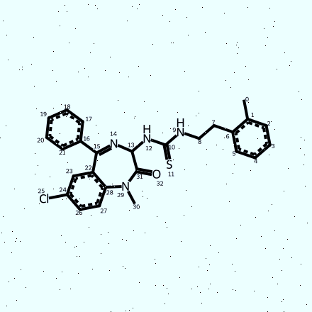 Cc1ccccc1CCNC(=S)NC1N=C(c2ccccc2)c2cc(Cl)ccc2N(C)C1=O